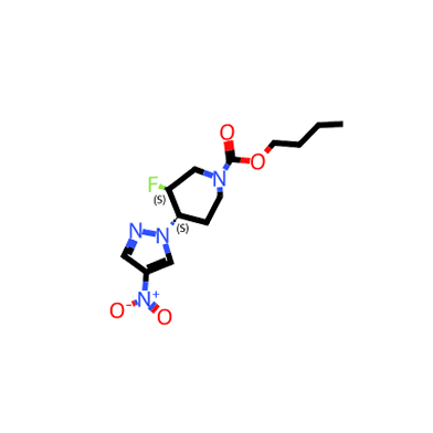 CCCCOC(=O)N1CC[C@H](n2cc([N+](=O)[O-])cn2)[C@@H](F)C1